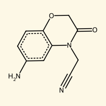 N#CCN1C(=O)COc2ccc(N)cc21